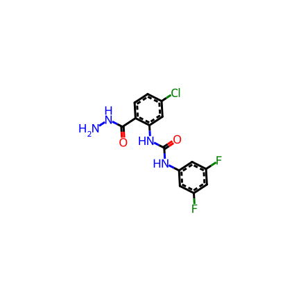 NNC(=O)c1ccc(Cl)cc1NC(=O)Nc1cc(F)cc(F)c1